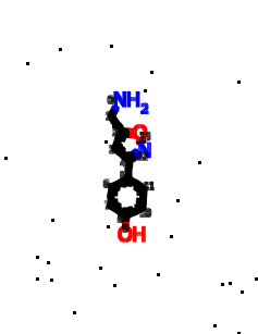 NCc1cc(-c2ccc(O)cc2)no1